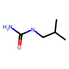 CC(C)C[N]C(N)=O